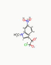 Cn1cc(C(=O)C(=O)Cl)c2ccc([N+](=O)[O-])cc21